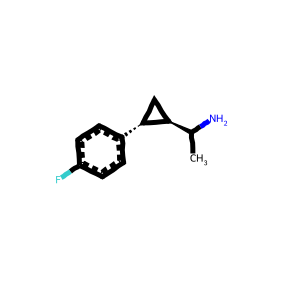 CC(N)[C@@H]1C[C@H]1c1ccc(F)cc1